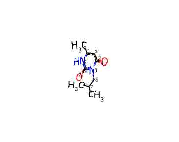 Cc1cc(=O)n(CC(C)C)c(=O)[nH]1